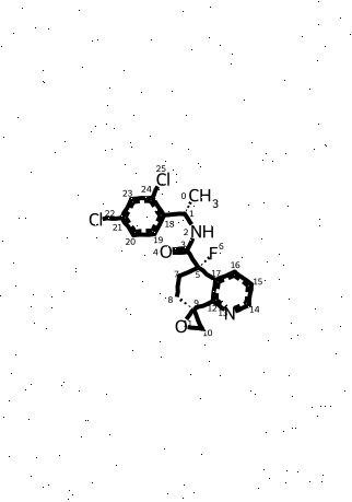 C[C@H](NC(=O)[C@]1(F)CC[C@@]2(CO2)c2ncccc21)c1ccc(Cl)cc1Cl